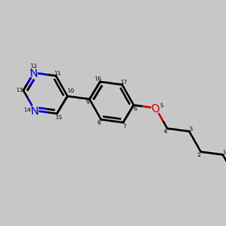 CCCCCOc1ccc(-c2cncnc2)cc1